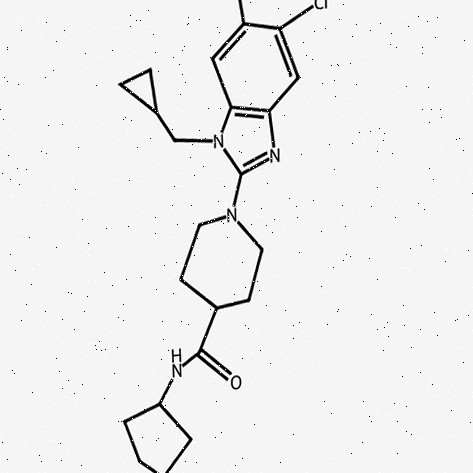 O=C(NC1CCCC1)C1CCN(c2nc3cc(Cl)c(Cl)cc3n2CC2CC2)CC1